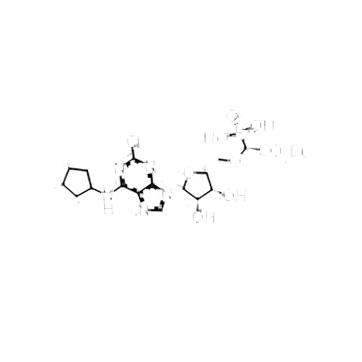 CCOC(=O)[C@@H](OC[C@H]1O[C@@H](n2cnc3c(NC4CCCC4)nc(Cl)nc32)[C@H](O)[C@@H]1O)P(=O)(O)O